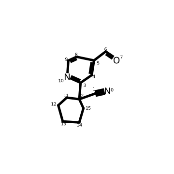 N#CC1(c2cc(C=O)ccn2)CCCCC1